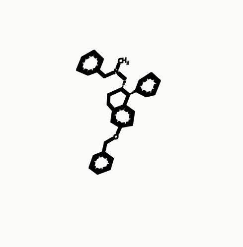 CN(Cc1ccccc1)C[C@H]1CCc2cc(OCc3ccccc3)ccc2[C@H]1c1ccccc1